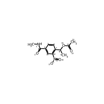 CNC(=O)c1ccc(C(C)OC(C)=O)c([N+](=O)[O-])c1